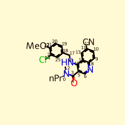 CCCN(C)C(=O)c1cnc2ccc(C#N)cc2c1NCc1ccc(OC)c(Cl)c1